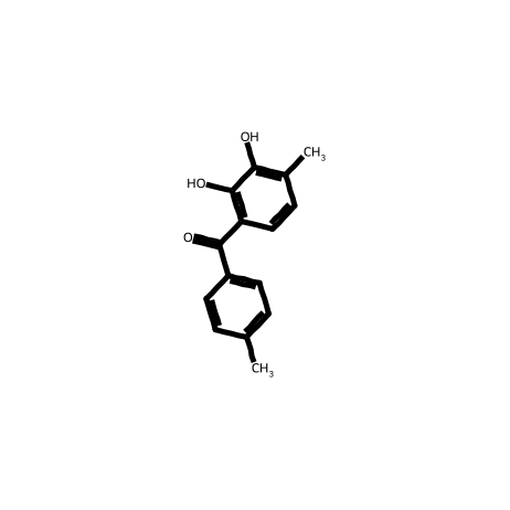 Cc1ccc(C(=O)c2ccc(C)c(O)c2O)cc1